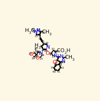 Cc1nc(N2C[C@@H](Oc3ncc(C#Cc4cn(C)nc4C)cc3N3CCOC4(COC4)[C@@H]3C)C[C@H]2C(=O)O)c2oc3ccccc3c2n1